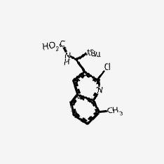 Cc1cccc2cc(C(NC(=O)O)C(C)(C)C)c(Cl)nc12